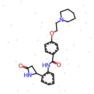 O=C1CC(c2ccccc2NC(=O)c2ccc(OCCN3CCCCC3)cc2)N1